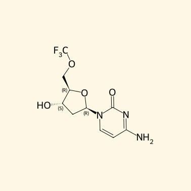 Nc1ccn([C@H]2C[C@H](O)[C@@H](COC(F)(F)F)O2)c(=O)n1